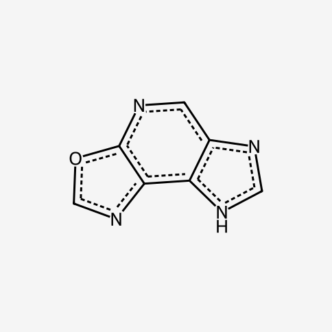 c1nc2cnc3ocnc3c2[nH]1